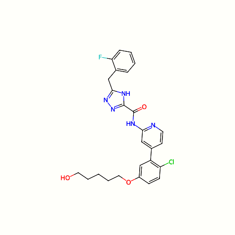 O=C(Nc1cc(-c2cc(OCCCCCO)ccc2Cl)ccn1)c1nnc(Cc2ccccc2F)[nH]1